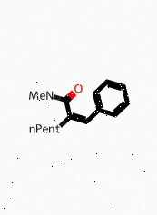 CCCCCC(=Cc1ccccc1)C(=O)NC